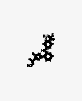 CC(CO)c1nc(-c2ccccc2Nc2ccc(C(F)(F)P)cc2)nn1C